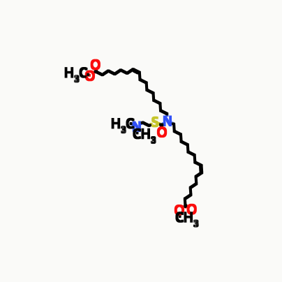 COC(=O)CCCCC/C=C\CCCCCCCCN(CCCCCCCC/C=C\CCCCCC(=O)OC)C(=O)SCCN(C)C